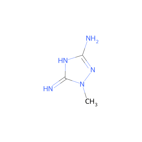 Cn1nc(N)[nH]c1=N